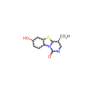 O=C(O)c1cnc(=O)n2c1sc1cc(O)ccc12